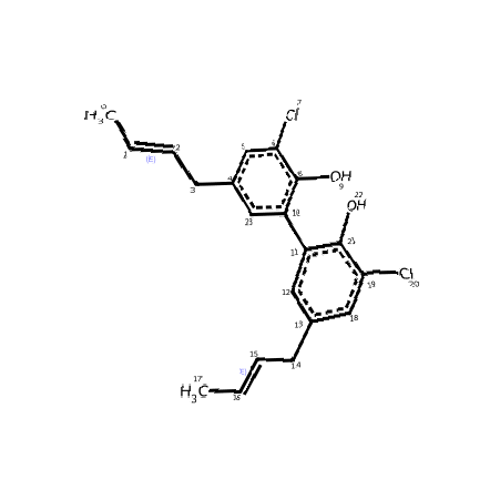 C/C=C/Cc1cc(Cl)c(O)c(-c2cc(C/C=C/C)cc(Cl)c2O)c1